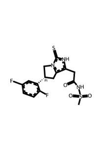 CS(=O)(=O)NC(=O)Cc1[nH]c(=S)n2c1C[C@H](c1cc(F)ccc1F)C2